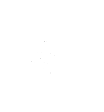 COc1ncc(-c2ccc(C(=O)O)cc2C)cc1-c1ccc(C(F)(F)F)cc1[C@@H]1C=C[C@H]2[C@@H](c3cc(C(F)(F)F)cc(C(F)(F)F)c3)OC(=O)N12